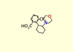 O=C(O)c1cccc(C(F)(F)F)c1C1CCCCC1N1CCOCC1